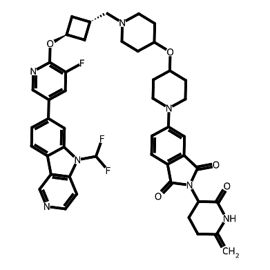 C=C1CCC(N2C(=O)c3ccc(N4CCC(OC5CCN(C[C@H]6C[C@H](Oc7ncc(-c8ccc9c%10cnccc%10n(C(F)F)c9c8)cc7F)C6)CC5)CC4)cc3C2=O)C(=O)N1